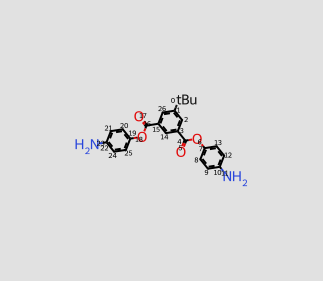 CC(C)(C)c1cc(C(=O)Oc2ccc(N)cc2)cc(C(=O)Oc2ccc(N)cc2)c1